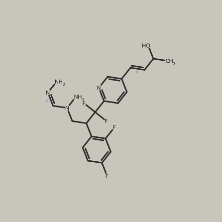 CC(O)/C=C/c1ccc(C(F)(F)C(CN(N)/C=N\N)c2ccc(F)cc2F)nc1